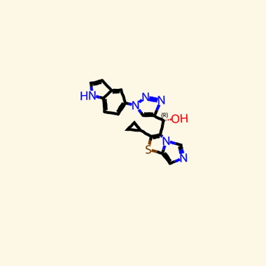 O[C@@H](c1cn(-c2ccc3[nH]ccc3c2)nn1)c1c(C2CC2)sc2cncn12